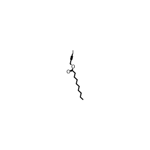 CCCCCCCCCC(=O)OCC#CI